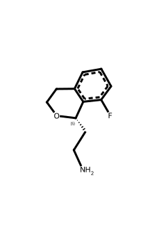 NCC[C@@H]1OCCc2cccc(F)c21